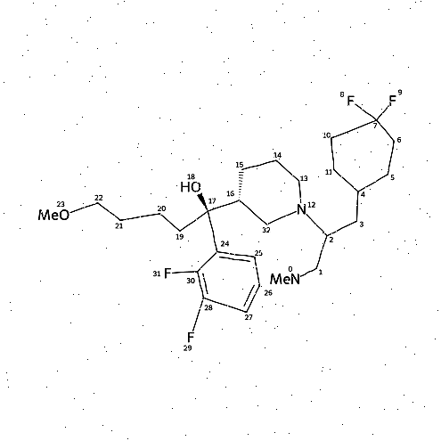 CNCC(CC1CCC(F)(F)CC1)N1CCC[C@@H]([C@@](O)(CCCCOC)c2cccc(F)c2F)C1